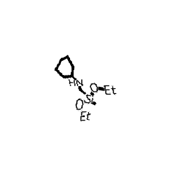 CCO[Si](C)(CNC1CCCCC1)OCC